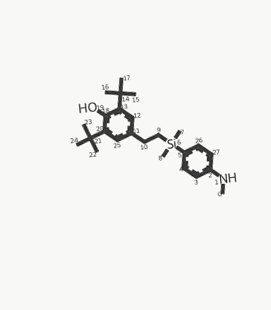 CNc1ccc([Si](C)(C)CCc2cc(C(C)(C)C)c(O)c(C(C)(C)C)c2)cc1